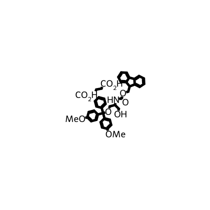 COc1ccc(C(OCC(CO)NC(=O)OCC2c3ccccc3-c3ccccc32)(c2ccccc2)c2ccc(OC)cc2)cc1.O=C(O)CCC(=O)O